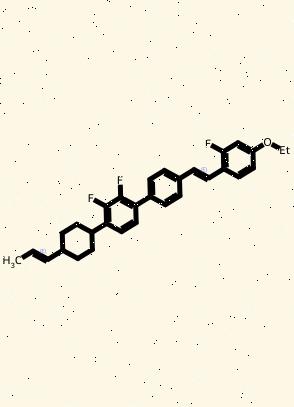 C/C=C/C1CCC(c2ccc(-c3ccc(/C=C/c4ccc(OCC)cc4F)cc3)c(F)c2F)CC1